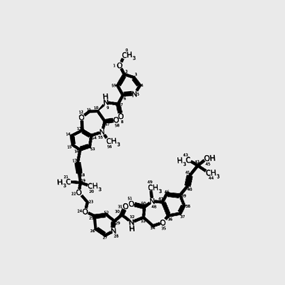 COc1ccnc(C(=O)N[C@@H]2COc3ccc(C#CC(C)(C)OCOc4ccnc(C(=O)NC5COc6ccc(C#CC(C)(C)O)cc6N(C)C5=O)c4)cc3N(C)C2=O)c1